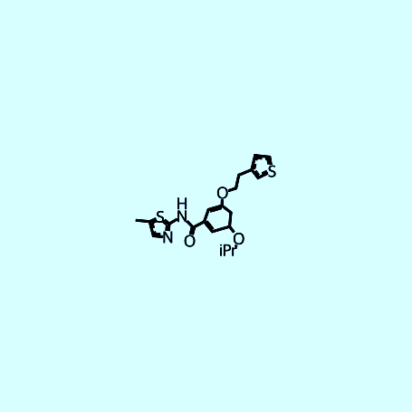 Cc1cnc(NC(=O)C2=CC(OC(C)C)CC(OCCc3ccsc3)=C2)s1